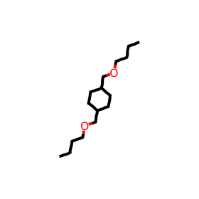 CCCCOCC1CCC(COCCCC)CC1